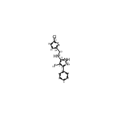 Fc1c(-c2ccccc2)n[nH]c1NCc1ccc(Cl)s1